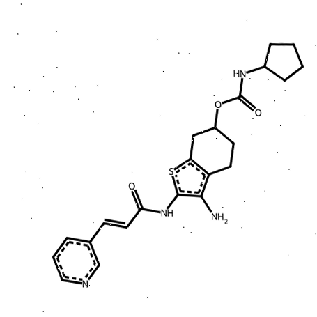 Nc1c(NC(=O)/C=C/c2cccnc2)sc2c1CCC(OC(=O)NC1CCCC1)C2